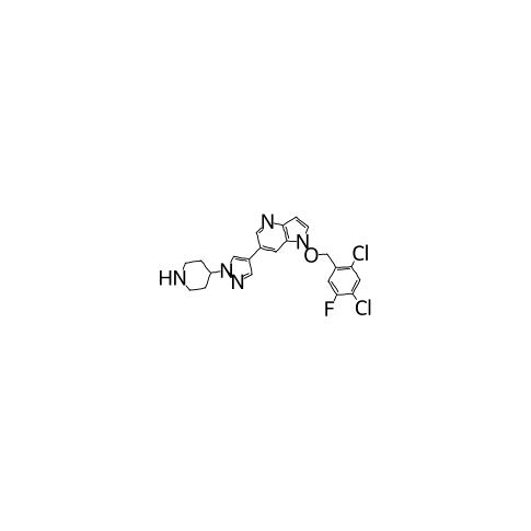 Fc1cc(COn2ccc3ncc(-c4cnn(C5CCNCC5)c4)cc32)c(Cl)cc1Cl